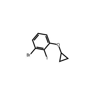 Brc1cccc(OC2CC2)c1I